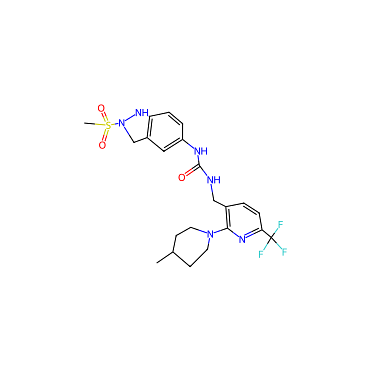 CC1CCN(c2nc(C(F)(F)F)ccc2CNC(=O)Nc2ccc3c(c2)CN(S(C)(=O)=O)N3)CC1